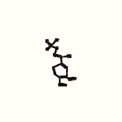 COc1ccc(C(C#N)=NOS(=O)(=O)C(C)C)cc1OC